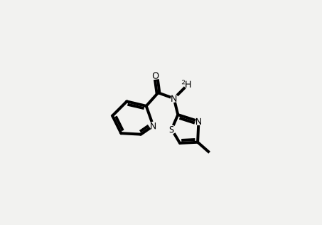 [2H]N(C(=O)c1ccccn1)c1nc(C)cs1